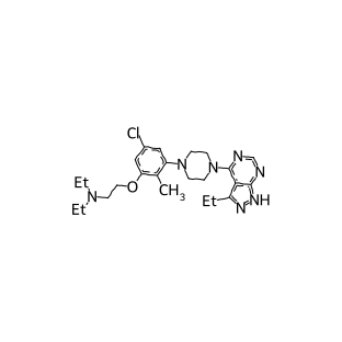 CCc1n[nH]c2ncnc(N3CCN(c4cc(Cl)cc(OCCN(CC)CC)c4C)CC3)c12